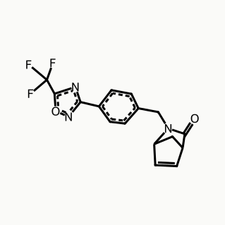 O=C1C2C=CC(C2)N1Cc1ccc(-c2noc(C(F)(F)F)n2)cc1